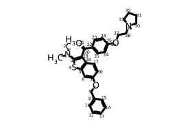 CN(C)c1sc2cc(OCc3ccccc3)ccc2c1C(=O)c1ccc(OCCN2CCCC2)cc1